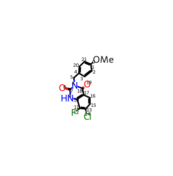 COc1ccc(Cn2c(=O)[nH]c3c(F)c(Cl)ccc3c2=O)cc1